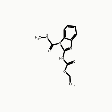 CCOC(=O)Nc1nc2ccccc2n1C(=O)NC